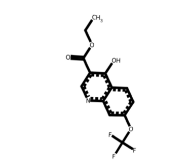 CCOC(=O)c1cnc2cc(OC(F)(F)F)ccc2c1O